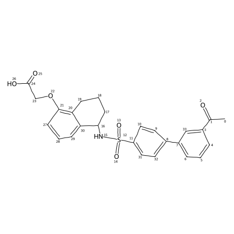 CC(=O)c1cccc(-c2ccc(S(=O)(=O)NC3CCCc4c(OCC(=O)O)cccc43)cc2)c1